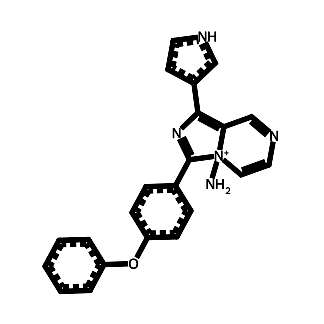 N[N+]12C=CN=CC1=C(c1cc[nH]c1)N=C2c1ccc(Oc2ccccc2)cc1